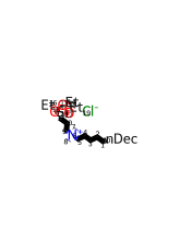 CCCCCCCCCCCCCCC[N+](C)(C)CCC[Si](OCC)(OCC)OCC.[Cl-]